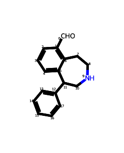 O=Cc1cccc2c1CCNCC2c1ccccc1